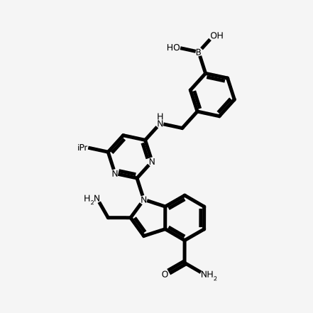 CC(C)c1cc(NCc2cccc(B(O)O)c2)nc(-n2c(CN)cc3c(C(N)=O)cccc32)n1